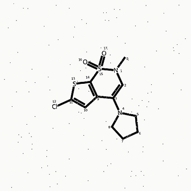 CN1C=C(N2CCCC2)c2cc(Cl)sc2S1(=O)=O